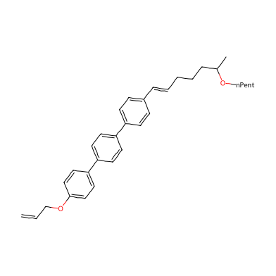 C=CCOc1ccc(-c2ccc(-c3ccc(/C=C/CCCC(C)OCCCCC)cc3)cc2)cc1